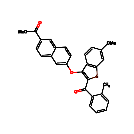 COC(=O)c1ccc2cc(Oc3c(C(=O)c4ccccc4C)sc4cc(OC)ccc34)ccc2c1